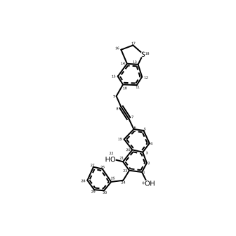 Oc1cc2ccc(C#CCc3ccc4c(c3)CCS4)cc2c(O)c1Cc1ccccc1